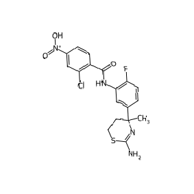 CC1(c2ccc(F)c(NC(=O)c3ccc([N+](=O)O)cc3Cl)c2)CCSC(N)=N1